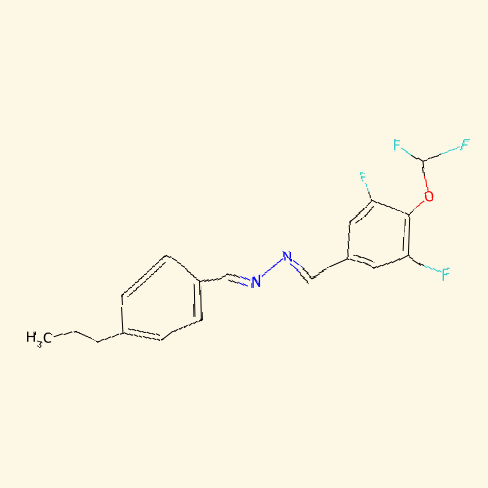 CCCc1ccc(C=NN=Cc2cc(F)c(OC(F)F)c(F)c2)cc1